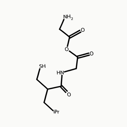 CC(C)CC(CS)C(=O)NCC(=O)OC(=O)CN